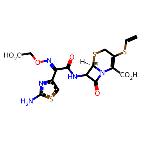 C=CSC1=C(C(=O)O)N2C(=O)C(NC(=O)/C(=N/OCC(=O)O)c3csc(N)n3)[C@H]2SC1